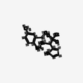 CCS(=O)(=O)C(NC(=O)c1cc(C(F)(F)F)ccc1N)c1ccc[nH]1